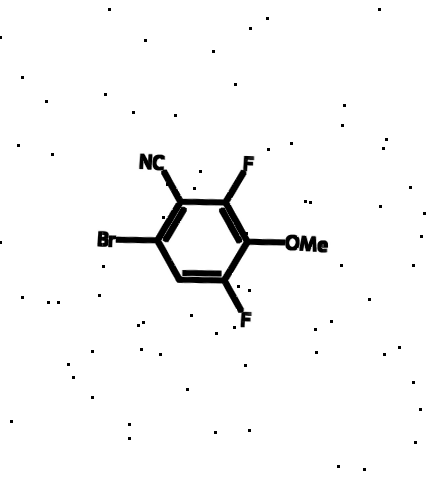 COc1c(F)cc(Br)c(C#N)c1F